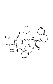 C[C@H](C(=O)N[C@H](C(=O)N1C[C@H]2CCCN2C[C@H]1C(=O)N[C@@H]1CCCc2ccccc21)C1CCCCC1)C(NC(=O)O)C(C)(C)C